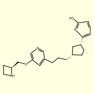 Oc1cccc([C@@H]2CC[C@H](CCCc3cncc(OC[C@@H]4CCN4)c3)C2)n1